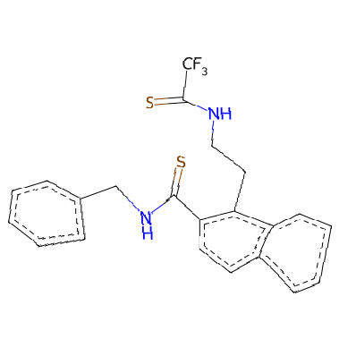 FC(F)(F)C(=S)NCCc1c(C(=S)NCc2ccccc2)ccc2ccccc12